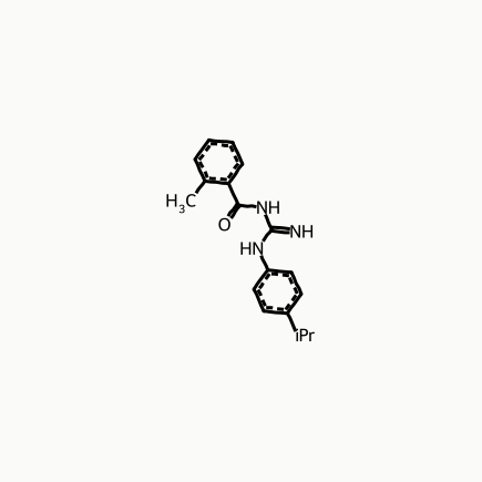 Cc1ccccc1C(=O)NC(=N)Nc1ccc(C(C)C)cc1